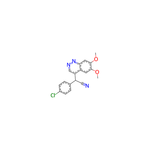 COc1cc2nncc(C(C#N)c3ccc(Cl)cc3)c2cc1OC